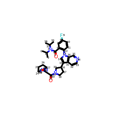 CC(C)N(C(=O)c1cc(F)ccc1-n1cc(C2CCN(C(=O)C3NC4CCC3CC4)C2)c2ccncc21)C(C)C